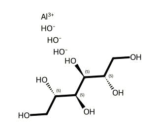 OC[C@H](O)[C@H](O)[C@@H](O)[C@@H](O)CO.[Al+3].[OH-].[OH-].[OH-]